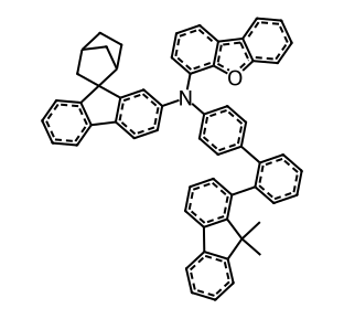 CC1(C)c2ccccc2-c2cccc(-c3ccccc3-c3ccc(N(c4ccc5c(c4)C4(CC6CCC4C6)c4ccccc4-5)c4cccc5c4oc4ccccc45)cc3)c21